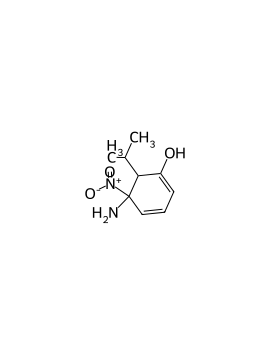 CC(C)C1C(O)=CC=CC1(N)[N+](=O)[O-]